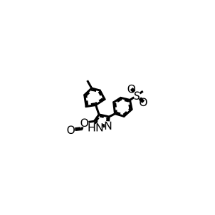 Cc1ccc(-c2c(-c3ccc(S(C)(=O)=O)cc3)n[nH]c2OC=O)cc1